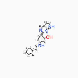 Oc1cc(NCCc2ccccc2)ccc1-c1ncc2cc[nH]c2n1